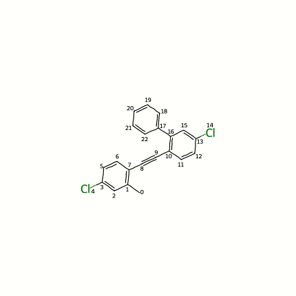 Cc1cc(Cl)ccc1C#Cc1ccc(Cl)cc1-c1ccccc1